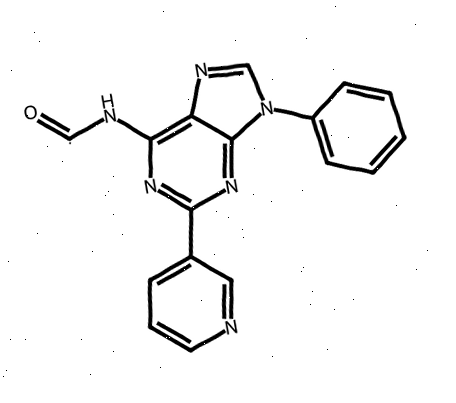 O=[C]Nc1nc(-c2cccnc2)nc2c1ncn2-c1ccccc1